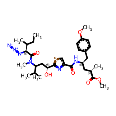 CCC(C)[C@H](N=[N+]=[N-])C(=O)N(C)C(C[C@@H](O)c1nc(C(=O)N[C@@H](Cc2ccc(OC)cc2)C[C@H](C)C(=O)OC)cs1)C(C)C